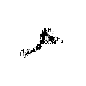 COc1cc(C2CCN(COCCCN(C)C)CC2)cnc1Cn1ncc2nc(N)nc(NCc3cc(C)on3)c21